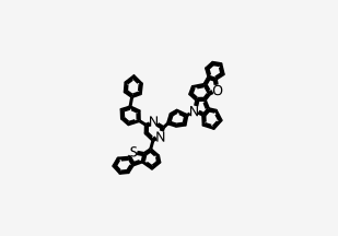 c1ccc(-c2cccc(-c3cc(-c4cccc5c4sc4ccccc45)nc(-c4ccc(-n5c6ccccc6c6c7oc8ccccc8c7ccc65)cc4)n3)c2)cc1